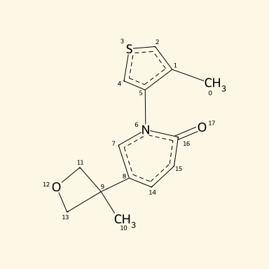 Cc1cscc1-n1cc(C2(C)COC2)ccc1=O